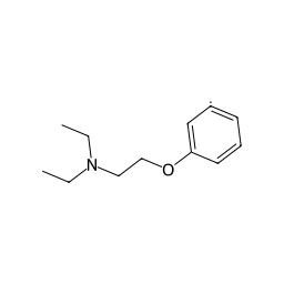 CCN(CC)CCOc1c[c]ccc1